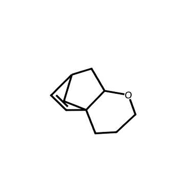 C1=CC23CCCOC2CC1C3